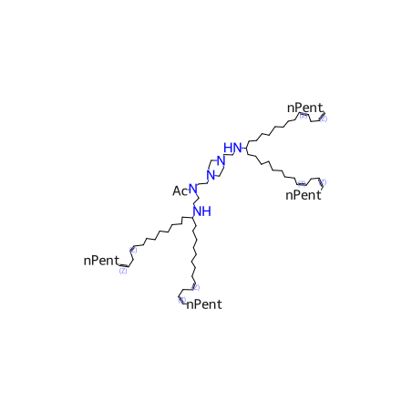 CCCCC/C=C\C/C=C\CCCCCCCCC(CCCCCCCC/C=C\C/C=C\CCCCC)NCCN1CCN(CCN(CCNC(CCCCCCCC/C=C\C/C=C\CCCCC)CCCCCCCC/C=C\C/C=C\CCCCC)C(C)=O)CC1